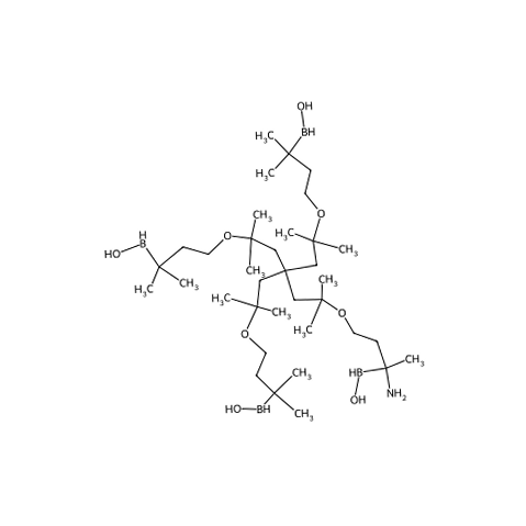 CC(C)(BO)CCOC(C)(C)CC(CC(C)(C)OCCC(C)(C)BO)(CC(C)(C)OCCC(C)(C)BO)CC(C)(C)OCCC(C)(N)BO